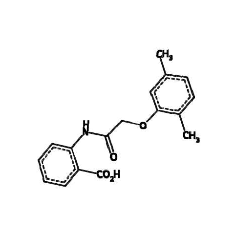 Cc1ccc(C)c(OCC(=O)Nc2ccccc2C(=O)O)c1